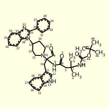 CC(C)(CC(=O)NC(C=O)(Cc1c[nH]c2ccccc12)N1CCC(n2c(-c3ccccc3)nc3ccccc32)CC1)NC(=O)OC(C)(C)C